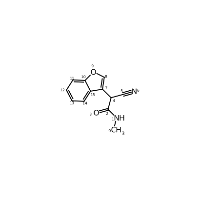 CNC(=O)C(C#N)c1coc2ccccc12